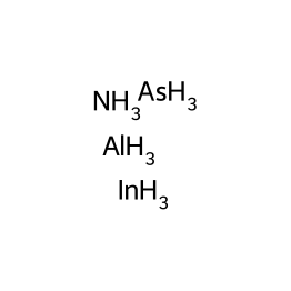 N.[AlH3].[AsH3].[InH3]